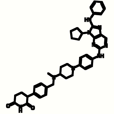 CN(Cc1ccc(C2CCC(=O)NC2=O)cc1)C1CCN(c2ccc(Nc3ncc4nc(Nc5ccccc5)n(C5CCCC5)c4n3)cc2)CC1